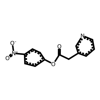 O=C(Cc1cccnc1)Oc1ccc([N+](=O)[O-])cc1